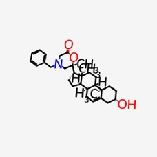 CC12CC[C@H]3[C@@H](CC=C4C[C@@H](O)CC[C@@]43C)[C@@H]1CC[C@@H]2[C@]1(C)CN(Cc2ccccc2)CC(=O)O1